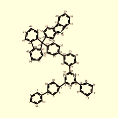 c1ccc(-c2ccc(-c3nc(-c4ccccc4)nc(-c4cccc(-c5ccc(C6(c7ccc8c(c7)sc7ccccc78)c7ccccc7-c7ccccc76)cc5)c4)n3)cc2)cc1